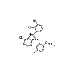 COc1ccc(Cl)cc1Cn1c(-c2cccc(Br)c2Cl)nc2c(Cl)ncnc21